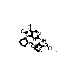 COc1ncccc1Nc1ncc2[nH]c(=O)n([C@H]3CCCC[C@H]3CO)c2n1